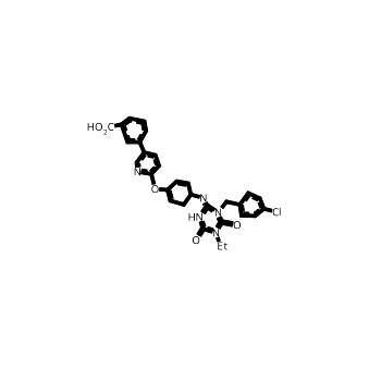 CCn1c(=O)[nH]/c(=N\C2C=CC(Oc3ccc(-c4cccc(C(=O)O)c4)cn3)=CC2)n(Cc2ccc(Cl)cc2)c1=O